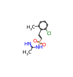 CC(=N)NS(=O)(=O)/C=C/c1c(C)cccc1Cl